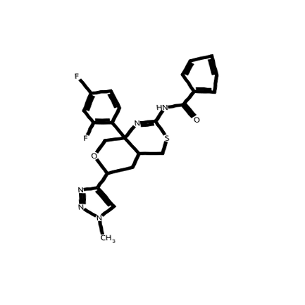 Cn1cc(C2CC3CSC(NC(=O)c4ccccc4)=NC3(c3ccc(F)cc3F)CO2)nn1